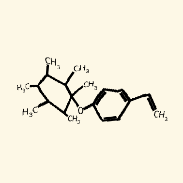 C=Cc1ccc(OC2(C)C(C)C(C)C(C)C(C)C2C)cc1